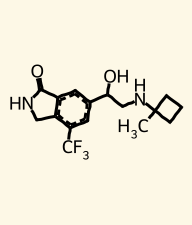 CC1(NCC(O)c2cc3c(c(C(F)(F)F)c2)CNC3=O)CCC1